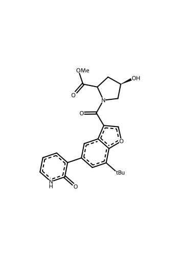 COC(=O)C1C[C@@H](O)CN1C(=O)c1coc2c(C(C)(C)C)cc(-c3ccc[nH]c3=O)cc12